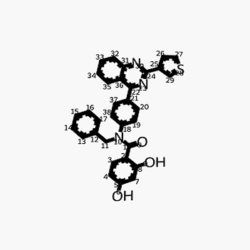 O=C(c1ccc(O)cc1O)N(Cc1ccccc1)c1ccc(-c2nc(-c3ccsc3)nc3ccccc23)cc1